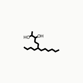 CCCCCCC(CCCC)CCC(O)C(C)O